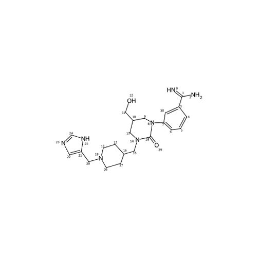 N=C(N)c1cccc(N2CC(CO)CN(CC3CCN(Cc4cnc[nH]4)CC3)C2=O)c1